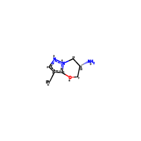 CC(C)c1cnn2c1OC[C@@H](N)C2